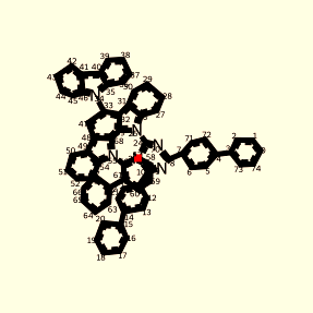 c1ccc(-c2ccc(-c3nc(-c4ccc(-c5ccccc5)cc4)nc(-n4c5ccccc5c5c(-n6c7ccccc7c7ccccc76)cc6c7ccccc7n(-c7ccccc7-c7ccccc7)c6c54)n3)cc2)cc1